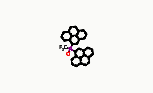 O=P(c1cc2cccc3ccc4cccc1c4c32)(c1cc2cccc3ccc4cccc1c4c32)C(F)(F)F